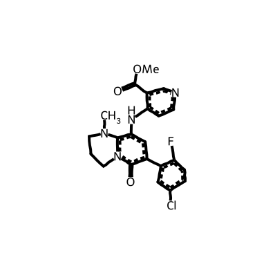 COC(=O)c1cnccc1Nc1cc(-c2cc(Cl)ccc2F)c(=O)n2c1N(C)CCC2